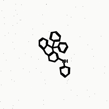 C1=C(Nc2ccccc2)CCC2=C1C(c1ccccc1)(c1ccccc1)c1ccccc1C2